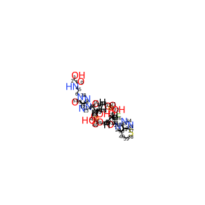 O=C(CO)NCCn1cnc2c(ncn2[C@@H]2O[C@@H]3COP(=O)(O)O[C@H]4[C@@H](F)[C@H](n5cc6c7c(ncnc75)SCCC6)O[C@@H]4COP(=O)(O)O[C@@H]2[C@@H]3O)c1=O